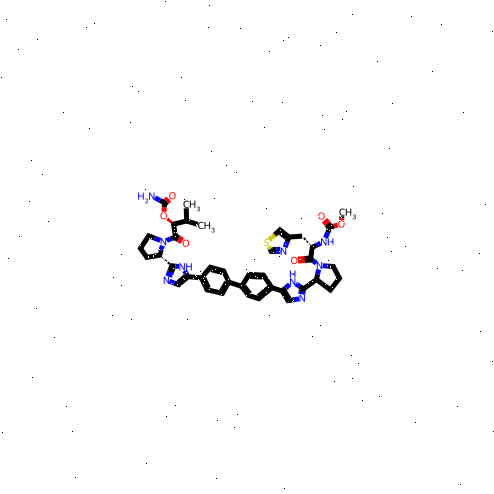 COC(=O)N[C@@H](Cc1cscn1)C(=O)N1CCCC1c1ncc(-c2ccc(-c3ccc(-c4cnc([C@@H]5CCCN5C(=O)[C@@H](OC(N)=O)C(C)C)[nH]4)cc3)cc2)[nH]1